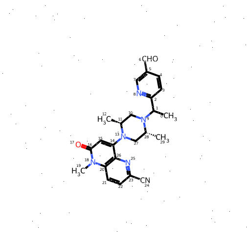 CC(c1ccc(C=O)cn1)N1C[C@H](C)N(c2cc(=O)n(C)c3ccc(C#N)nc23)C[C@H]1C